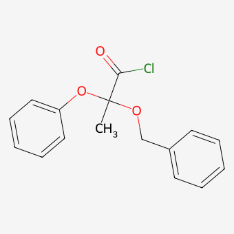 CC(OCc1ccccc1)(Oc1ccccc1)C(=O)Cl